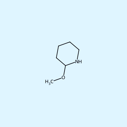 COC1CCCCN1